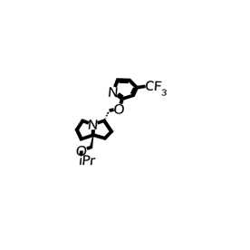 CC(C)OC[C@@]12CCCN1[C@H](COc1cc(C(F)(F)F)ccn1)CC2